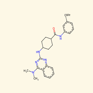 COc1cccc(NC(=O)C2CCC(Nc3nc(N(C)C)c4ccccc4n3)CC2)c1